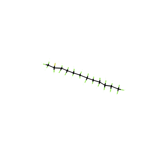 FC(F)(F)C(F)(F)C(F)(F)C(F)(F)C(F)(F)C(F)(F)C(F)(F)C(F)(F)C(F)(F)C(F)(F)C(F)(S)C(F)(F)F